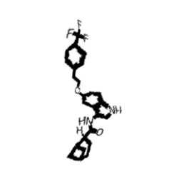 O=C(Nc1c[nH]c2ccc(OCCc3ccc(C(F)(F)F)cc3)cc12)[C@@H]1CCC2CC1C2